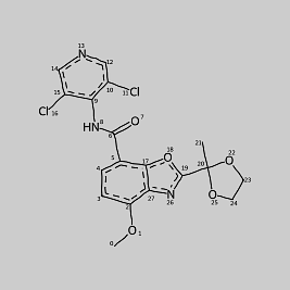 COc1ccc(C(=O)Nc2c(Cl)cncc2Cl)c2oc(C3(C)OCCO3)nc12